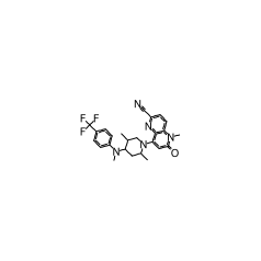 CC1CN(c2cc(=O)n(C)c3ccc(C#N)nc23)C(C)CC1N(C)c1ccc(C(F)(F)F)cc1